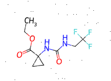 CCOC(=O)C1(NC(=O)NCC(F)(F)F)CC1